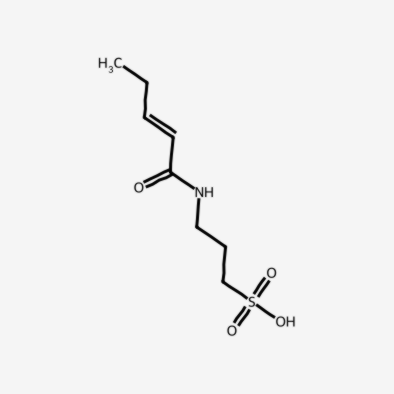 CCC=CC(=O)NCCCS(=O)(=O)O